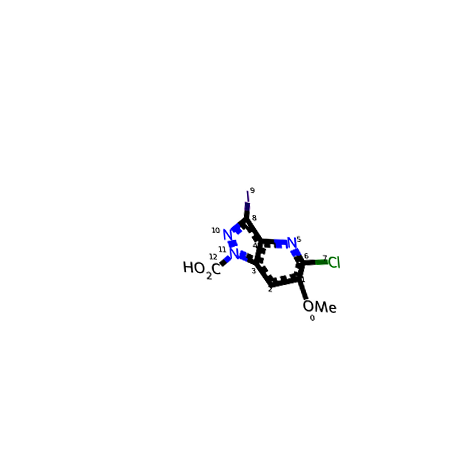 COc1cc2c(nc1Cl)c(I)nn2C(=O)O